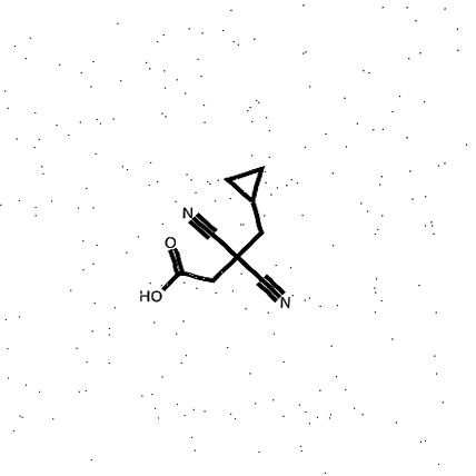 N#CC(C#N)(CC(=O)O)CC1CC1